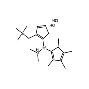 CC1=C(C)C(C)[C]([Hf]([C]2=C(C[Si](C)(C)C)C=CC2)[SiH](C)C)=C1C.Cl.Cl